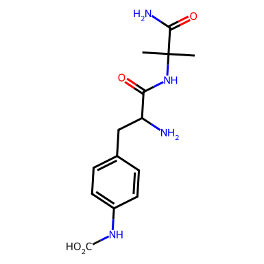 CC(C)(NC(=O)C(N)Cc1ccc(NC(=O)O)cc1)C(N)=O